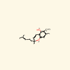 CC(C)=CCCC1(C)C=Cc2c(cc(C)c(C=O)c2O)O1